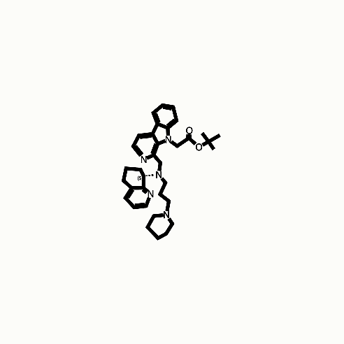 CC(C)(C)OC(=O)Cn1c2ccccc2c2ccnc(CN(CCCN3CCCCC3)[C@H]3CCCc4cccnc43)c21